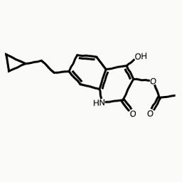 CC(=O)Oc1c(O)c2ccc(CCC3CC3)cc2[nH]c1=O